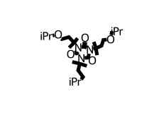 CC(C)CCC(C)(C)n1c(=O)n(C(C)(C)CCOC(C)C)c(=O)n(C(C)(C)CCOC(C)C)c1=O